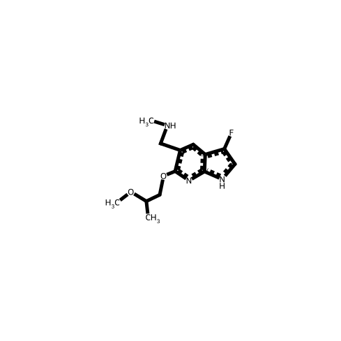 CNCc1cc2c(F)c[nH]c2nc1OCC(C)OC